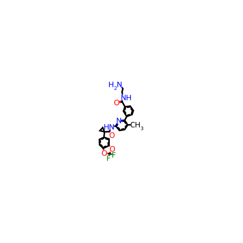 Cc1ccc(NC(=O)C2(c3ccc4c(c3)OC(F)(F)O4)CC2)nc1-c1cccc(C(=O)NCCN)c1